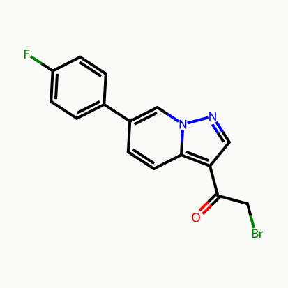 O=C(CBr)c1cnn2cc(-c3ccc(F)cc3)ccc12